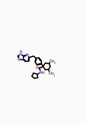 CC1CC(C)CC(C(=O)NC2CCCC2)(c2ccc(Cc3ccc4nc[nH]c4n3)cc2)C1